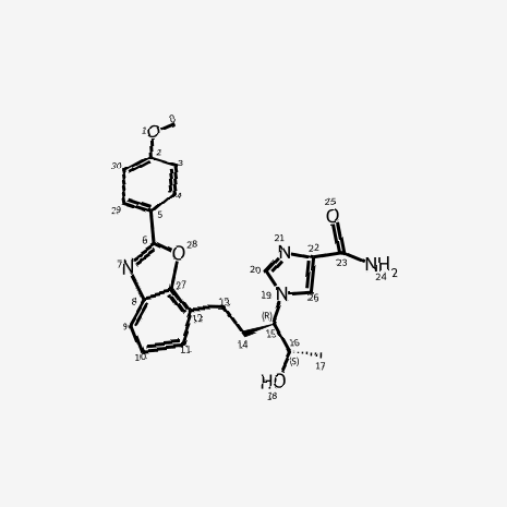 COc1ccc(-c2nc3cccc(CC[C@H]([C@H](C)O)n4cnc(C(N)=O)c4)c3o2)cc1